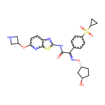 O=C(Nc1nc2ccc(OC3CNC3)nc2s1)/C(=N/O[C@@H]1CC[C@@H](O)C1)c1ccc(S(=O)(=O)C2CC2)cc1